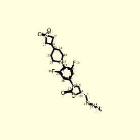 [N-]=[N+]=NC[C@H]1CN(c2cc(F)c(N3CCC(C4CS(=O)(=O)C4)CC3)c(F)c2)C(=O)O1